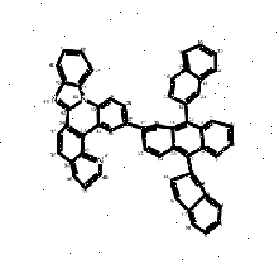 c1ccc2cc(-c3c4ccccc4c(-c4ccc5ccccc5c4)c4cc(-c5ccc6c(c5)c5c(ccc7cccnc75)c5nc7ccccc7n65)ccc34)ccc2c1